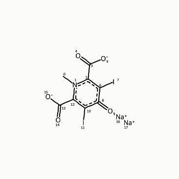 Cn1c(C(=O)[O-])c(I)c(=O)c(I)c1C(=O)[O-].[Na+].[Na+]